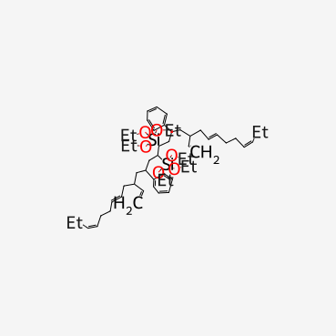 C=CC(C/C=C/CC/C=C\CC)CC(CC(C(CC(CC(C=C)C/C=C/CC/C=C\CC)c1ccccc1)[Si](OCC)(OCC)OCC)[Si](OCC)(OCC)OCC)c1ccccc1